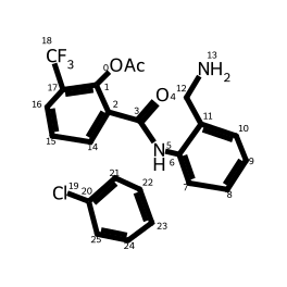 CC(=O)Oc1c(C(=O)Nc2ccccc2CN)cccc1C(F)(F)F.Clc1ccccc1